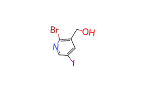 OCc1cc(I)cnc1Br